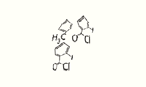 Cc1ccccc1.O=C(Cl)c1ccccc1I.O=C(Cl)c1ccccc1I